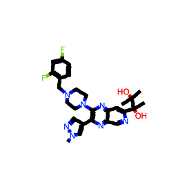 Cn1cc(-c2nc3cnc(C(C)(O)C(C)(C)O)cc3nc2N2CCN(Cc3ccc(F)cc3F)CC2)cn1